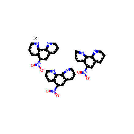 O=[N+]([O-])c1cc2cccnc2c2ncccc12.O=[N+]([O-])c1cc2cccnc2c2ncccc12.O=[N+]([O-])c1cc2cccnc2c2ncccc12.[Co]